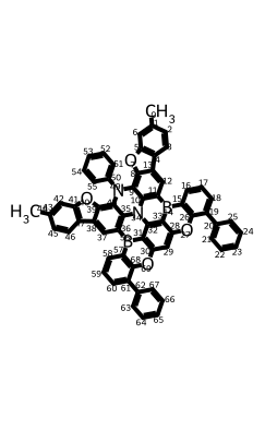 Cc1ccc2c(c1)oc1c3c4c(cc12)B1c2cccc(-c5ccccc5)c2Oc2cc5c6c(c21)N4c1c(cc2c(oc4cc(C)ccc42)c1N3c1ccccc1)B6c1cccc(-c2ccccc2)c1O5